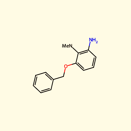 CNc1c(N)cccc1OCc1ccccc1